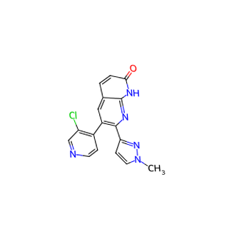 Cn1ccc(-c2nc3[nH]c(=O)ccc3cc2-c2ccncc2Cl)n1